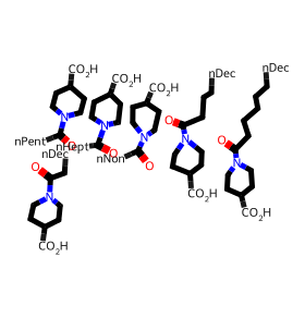 CCCCCC(=O)N1CCC(C(=O)O)CC1.CCCCCCCC(=O)N1CCC(C(=O)O)CC1.CCCCCCCCCC(=O)N1CCC(C(=O)O)CC1.CCCCCCCCCCCC(=O)N1CCC(C(=O)O)CC1.CCCCCCCCCCCCCC(=O)N1CCC(C(=O)O)CC1.CCCCCCCCCCCCCCCC(=O)N1CCC(C(=O)O)CC1